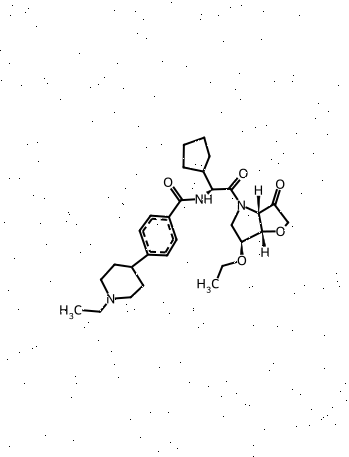 CCO[C@H]1CN(C(=O)[C@@H](NC(=O)c2ccc(C3CCN(CC)CC3)cc2)C2CCCC2)[C@@H]2C(=O)CO[C@H]12